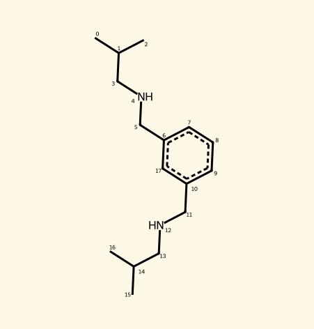 CC(C)CNCc1cccc(CNCC(C)C)c1